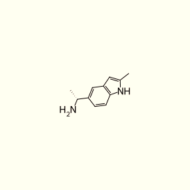 Cc1cc2cc([C@@H](C)N)ccc2[nH]1